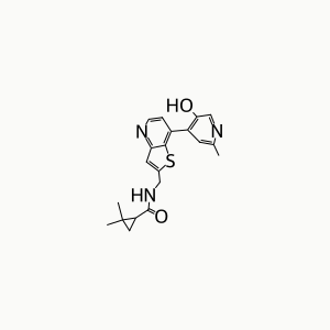 Cc1cc(-c2ccnc3cc(CNC(=O)C4CC4(C)C)sc23)c(O)cn1